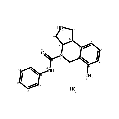 Cc1cccc2c1CN(C(=O)Nc1ccccc1)C1CNCC21.Cl